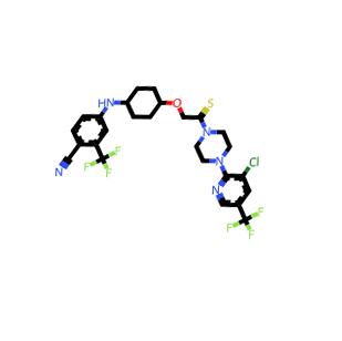 N#Cc1ccc(NC2CCC(OCC(=S)N3CCN(c4ncc(C(F)(F)F)cc4Cl)CC3)CC2)cc1C(F)(F)F